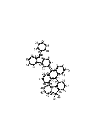 Cc1ccc2c(-c3ccc4c(c3)c3ccccc3p4-c3ccccc3)c3ccccc3c(-c3cccc4c3-c3ccccc3C4(C)C)c2c1